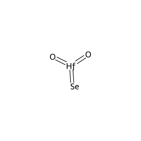 [O]=[Hf](=[O])=[Se]